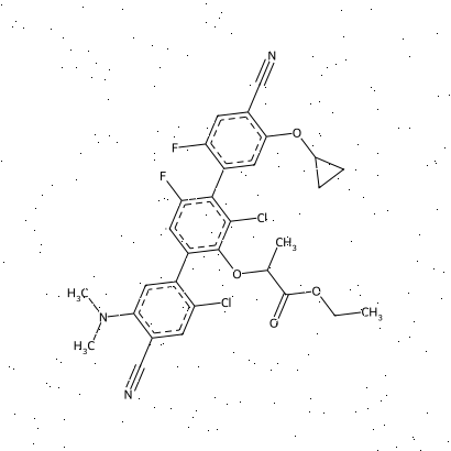 CCOC(=O)C(C)Oc1c(-c2cc(N(C)C)c(C#N)cc2Cl)[c]c(F)c(-c2cc(OC3CC3)c(C#N)cc2F)c1Cl